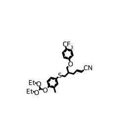 CCOC(OCC)Oc1ccc(SCC(C/C=C/C#N)COc2ccc(C(F)(F)F)cc2)cc1C